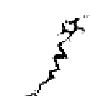 COCCCCCCCCOc1cc[nH]c(=S)c1C